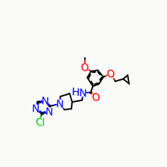 COc1cc(OCC2CC2)cc(C(=O)NCC2CCN(c3ncnc(Cl)n3)CC2)c1